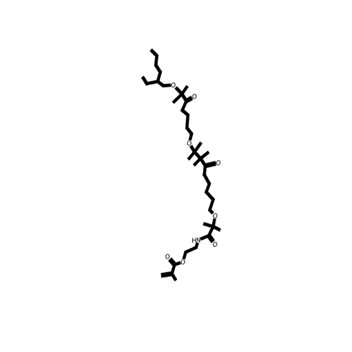 C=C(C)C(=O)OCCNC(=O)C(C)(C)OCCCCCC(=O)C(C)(C)C(C)(C)OCCCCC(=O)C(C)(C)OCC(CC)CCCC